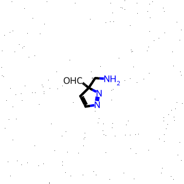 N[CH]C1(C=O)C=CN=N1